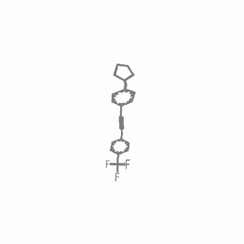 FC(F)(F)c1ccc(C#Cc2ccc(C3CCCC3)cc2)cc1